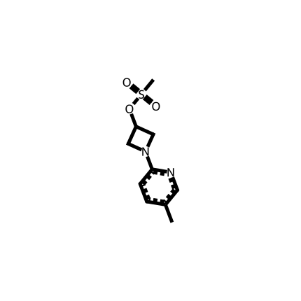 Cc1ccc(N2CC(OS(C)(=O)=O)C2)nc1